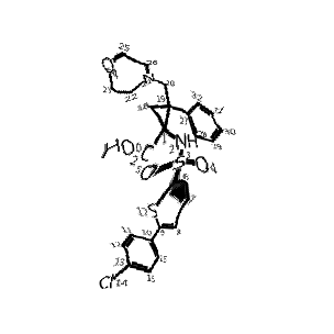 O=C(O)C1(NS(=O)(=O)c2ccc(-c3ccc(Cl)cc3)s2)CC1(CN1CCOCC1)c1ccccc1